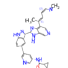 C=N/C=C\C=C(/C)c1cncc2[nH]c(-c3n[nH]c4ccc(-c5cncc(NC(=O)C6CC6)c5)cc34)nc12